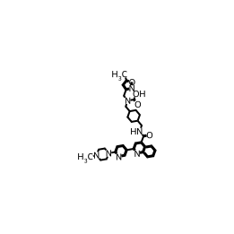 Cc1cc(CN(CC2CCC(CNC(=O)c3cc(-c4ccc(N5CCN(C)CC5)nc4)nc4ccccc34)CC2)C(=O)O)no1